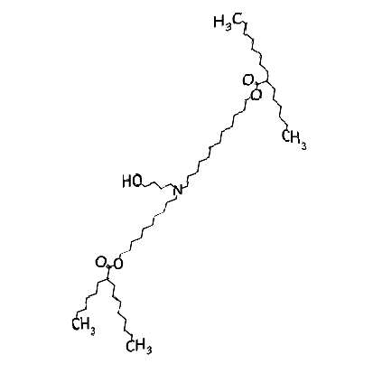 CCCCCCCCC(CCCCCC)C(=O)OCCCCCCCCCCCCN(CCCCO)CCCCCCCCCCOC(=O)C(CCCCCC)CCCCCCCC